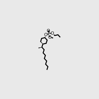 CCCCCCCC[C@@H](C)[C@H]1CC[C@H](OP(=O)(OC)OCCC)CC1